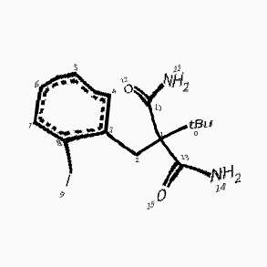 CC(C)(C)C(Cc1ccccc1I)(C(N)=O)C(N)=O